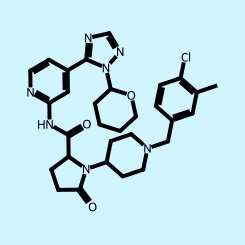 Cc1cc(CN2CCC(N3C(=O)CCC3C(=O)Nc3cc(-c4ncnn4C4CCCCO4)ccn3)CC2)ccc1Cl